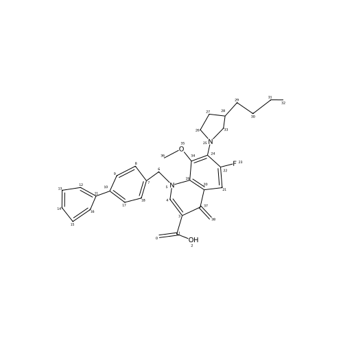 C=C(O)C1=CN(Cc2ccc(-c3ccccc3)cc2)c2c(cc(F)c(N3CCC(CCCC)C3)c2OC)C1=C